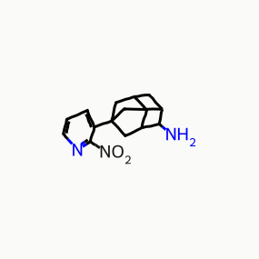 NC1C2CC3CC1CC(c1cccnc1[N+](=O)[O-])(C3)C2